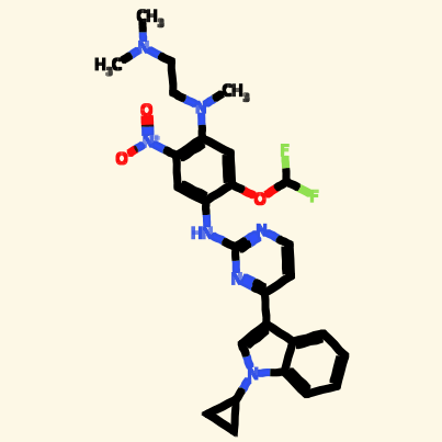 CN(C)CCN(C)c1cc(OC(F)F)c(Nc2nccc(-c3cn(C4CC4)c4ccccc34)n2)cc1[N+](=O)[O-]